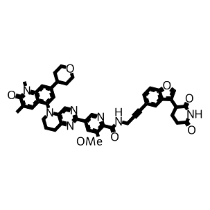 COc1cc(-c2ncc3c(n2)CCCN3c2cc(C3CCOCC3)cc3c2cc(C)c(=O)n3C)cnc1C(=O)NCC#Cc1ccc2occ(C3CCC(=O)NC3=O)c2c1